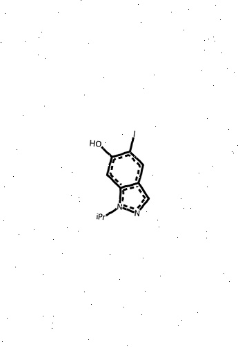 CC(C)n1ncc2cc(I)c(O)cc21